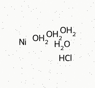 Cl.O.O.O.O.[Ni]